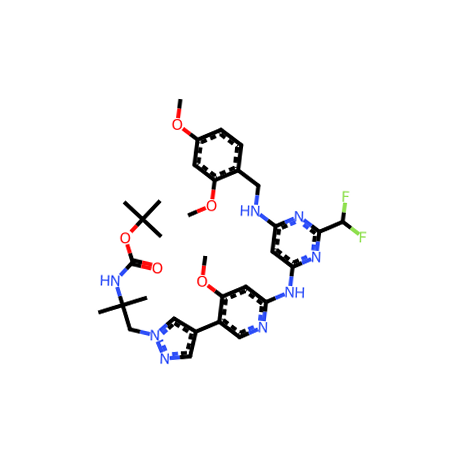 COc1ccc(CNc2cc(Nc3cc(OC)c(-c4cnn(CC(C)(C)NC(=O)OC(C)(C)C)c4)cn3)nc(C(F)F)n2)c(OC)c1